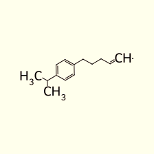 [CH]=CCCCc1ccc(C(C)C)cc1